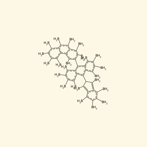 BC1=c2c(B)c(B)c(B)c(B)c2=C(B)C1c1c2c(B)c(B)c(B)c(B)c2c(-c2c(B)c(B)c3c(B)c(B)c4c(B)c(B)c(B)c(B)c4c3c2B)c2c(B)c(B)c(B)c(B)c12